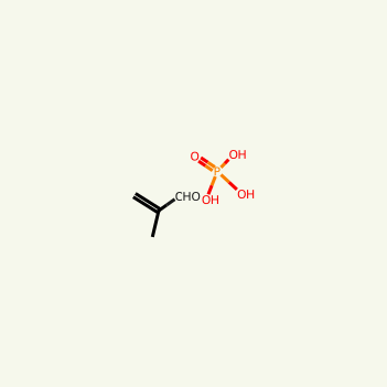 C=C(C)C=O.O=P(O)(O)O